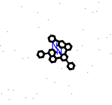 c1ccc(-c2cc3c4cccc5c(-c6ccccc6)cc6c(c54)n4c3c(c2)c2cccc3cc5c7ccccc7n6c5c4c32)cc1